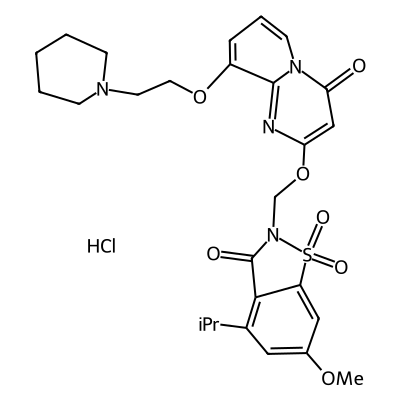 COc1cc(C(C)C)c2c(c1)S(=O)(=O)N(COc1cc(=O)n3cccc(OCCN4CCCCC4)c3n1)C2=O.Cl